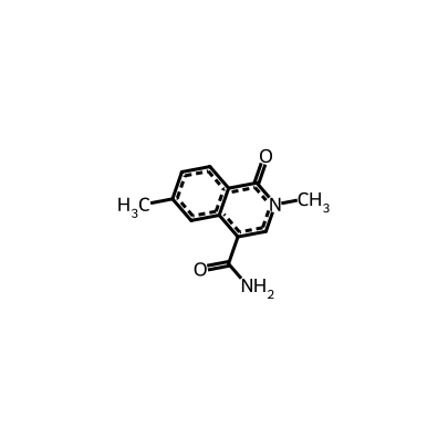 Cc1ccc2c(=O)n(C)cc(C(N)=O)c2c1